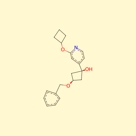 O[C@]1(c2ccnc(OC3CCC3)c2)C[C@H](OCc2ccccc2)C1